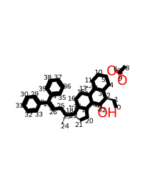 CC[C@@H]1C2C[C@H](OC(C)=O)CC[C@]2(C)C2CC[C@@]3(C)C(CC[C@@H]3[C@H](C)CC=C(c3ccccc3)c3ccccc3)C2[C@@H]1O